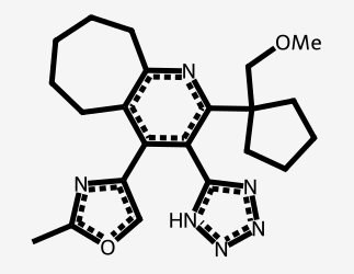 COCC1(c2nc3c(c(-c4coc(C)n4)c2-c2nnn[nH]2)CCCCC3)CCCC1